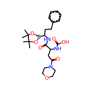 CC1(C)OB(C(CCc2ccccc2)NC(=O)C(CC(=O)N2CCOCC2)NC(=O)O)OC1(C)C